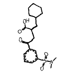 CN(C)S(=O)(=O)c1cccc(C(=O)CC(CC2CCCCC2)C(=O)O)c1